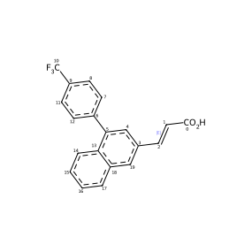 O=C(O)/C=C/c1cc(-c2ccc(C(F)(F)F)cc2)c2ccccc2c1